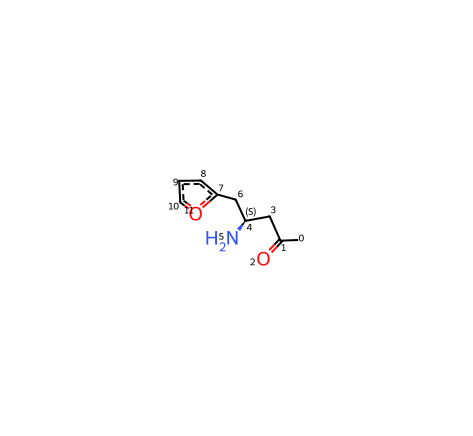 CC(=O)C[C@@H](N)Cc1ccco1